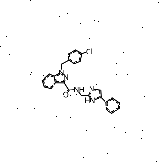 O=C(NCc1ncc(-c2ccccc2)[nH]1)c1nn(Cc2ccc(Cl)cc2)c2ccccc12